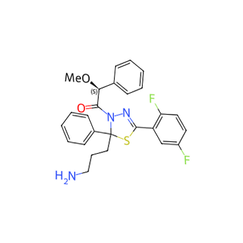 CO[C@H](C(=O)N1N=C(c2cc(F)ccc2F)SC1(CCCN)c1ccccc1)c1ccccc1